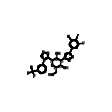 OC[C@H]1O[C@@H](c2nncn2-c2cccc(C(F)(F)F)c2)[C@H](O)[C@@H](n2cc(-c3cc(F)c(F)c(F)c3)nn2)[C@H]1O